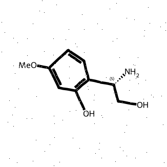 COc1ccc([C@H](N)CO)c(O)c1